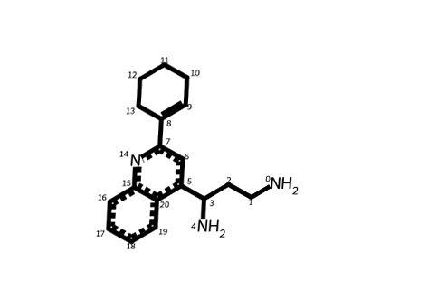 NCCC(N)c1cc(C2=CCCCC2)nc2ccccc12